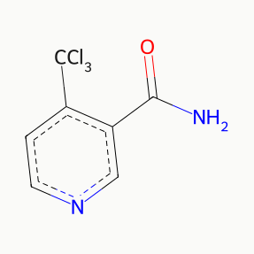 NC(=O)c1cnccc1C(Cl)(Cl)Cl